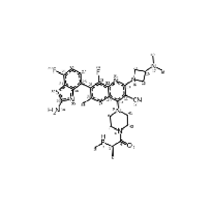 C=C(PC)C(=O)N1CCN(c2c(C#N)c(N3CC(N(C)C)C3)nc3c(F)c(-c4ccc(F)c5sc(N)nc45)c(C)cc23)CC1